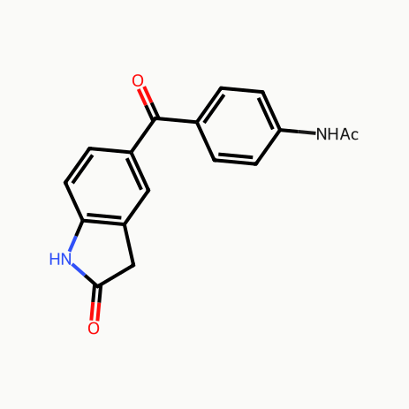 CC(=O)Nc1ccc(C(=O)c2ccc3c(c2)CC(=O)N3)cc1